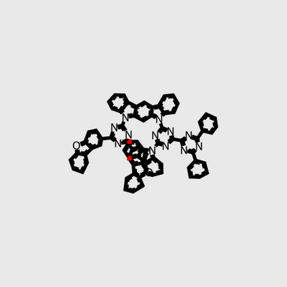 c1ccc(-c2nc(-c3ccccc3)nc(-c3nc(-n4c5ccccc5c5ccccc54)nc(-n4c5ccccc5c5cc6c7ccccc7n(-c7nc(-c8ccc9oc%10ccccc%10c9c8)nc(-c8ccc9oc%10ccccc%10c9c8)n7)c6cc54)n3)n2)cc1